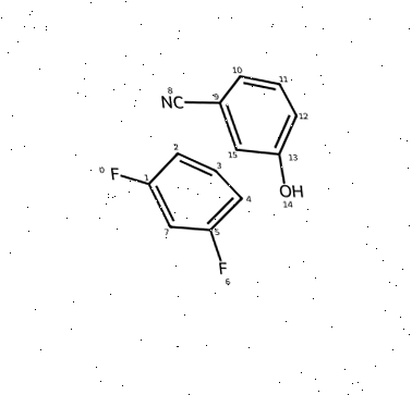 Fc1cccc(F)c1.N#Cc1cccc(O)c1